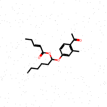 CC/C=C/C(=O)OC(CCCCC)Oc1ccc(C(C)=O)c(C)c1